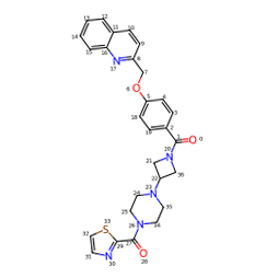 O=C(c1ccc(OCc2ccc3ccccc3n2)cc1)N1CC(N2CCN(C(=O)c3nccs3)CC2)C1